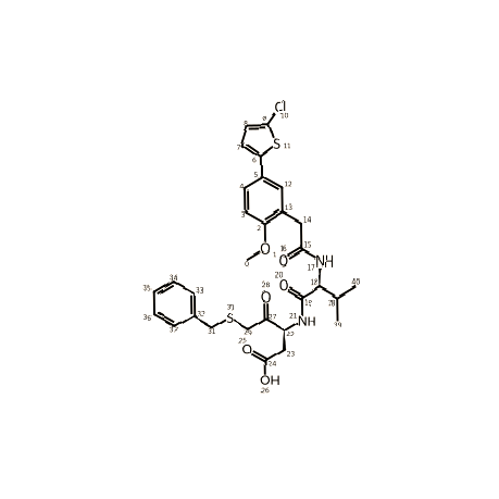 COc1ccc(-c2ccc(Cl)s2)cc1CC(=O)N[C@H](C(=O)N[C@@H](CC(=O)O)C(=O)CSCc1ccccc1)C(C)C